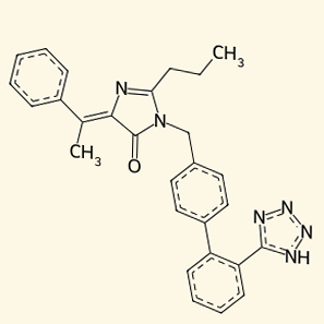 CCCC1=NC(=C(C)c2ccccc2)C(=O)N1Cc1ccc(-c2ccccc2-c2nnn[nH]2)cc1